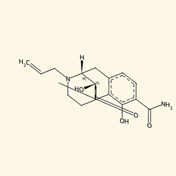 C=CCN1CCC23CC(=O)CC[C@@]2(O)[C@H]1Cc1ccc(C(N)=O)c(O)c13